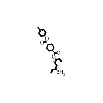 B/C(C=C)=C/C=C(\C=C)OC(=O)[C@H]1CC[C@H](C(=O)Oc2ccc(C)cc2)CC1